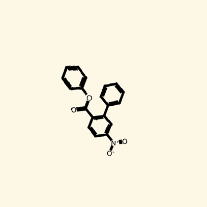 O=C(Oc1ccccc1)c1ccc([N+](=O)[O-])cc1-c1ccccc1